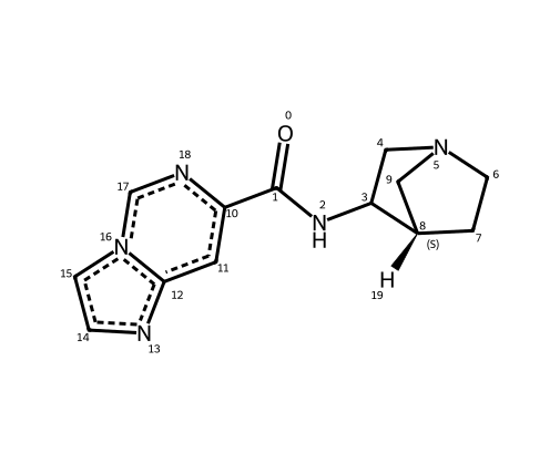 O=C(NC1CN2CC[C@H]1C2)c1cc2nccn2cn1